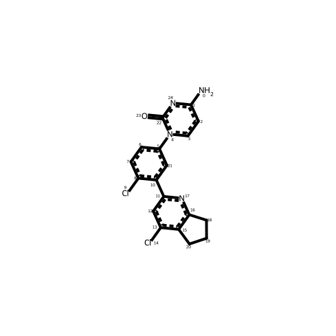 Nc1ccn(-c2ccc(Cl)c(-c3cc(Cl)c4c(n3)CCC4)c2)c(=O)n1